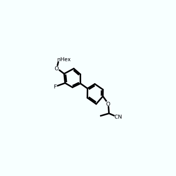 CCCCCCOc1ccc(-c2ccc(OC(C)C#N)cc2)cc1F